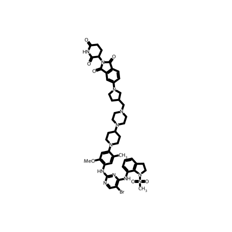 COc1cc(N2CCC(N3CCN(CC4CCN(c5ccc6c(c5)C(=O)N(C5CCC(=O)NC5=O)C6=O)C4)CC3)CC2)c(C)cc1Nc1ncc(Br)c(Nc2cccc3c2N(S(C)(=O)=O)CC3)n1